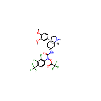 COc1ccc([C@@]23CC[C@@H](NC(=O)N(OC(=O)C(F)(F)F)c4ccc(C(F)(F)F)c(F)c4F)C[C@@H]2N(C)CC3)cc1OC